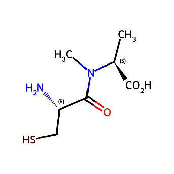 C[C@@H](C(=O)O)N(C)C(=O)[C@@H](N)CS